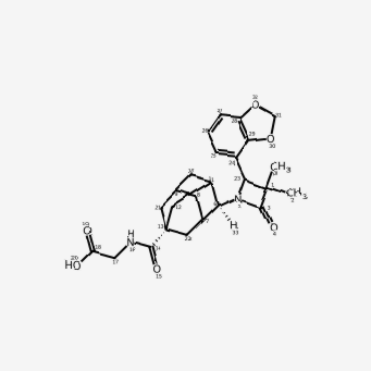 CC1(C)C(=O)N([C@H]2C3CC4CC2C[C@](C(=O)NCC(=O)O)(C4)C3)C1c1cccc2c1OCO2